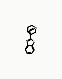 C1=C(c2nc3ccccc3o2)C2CCN1CC2